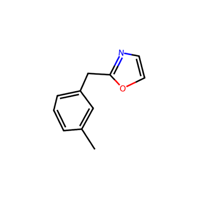 Cc1cccc(Cc2ncco2)c1